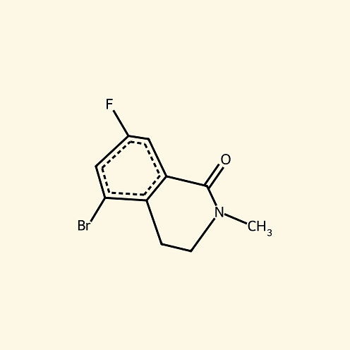 CN1CCc2c(Br)cc(F)cc2C1=O